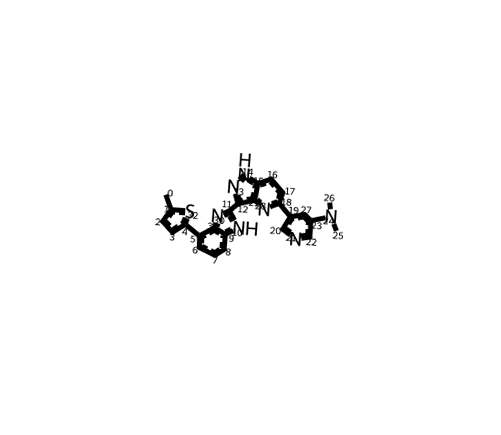 Cc1ccc(-c2cccc3[nH]c(-c4n[nH]c5ccc(-c6cncc(N(C)C)c6)nc45)nc23)s1